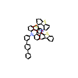 c1ccc(-c2ccc(-c3cccc(N(c4ccccc4-c4ccccc4N(c4cccc5c4sc4ccccc45)c4cccc5sc6ccccc6c45)c4cccc5sc6ccccc6c45)c3)cc2)cc1